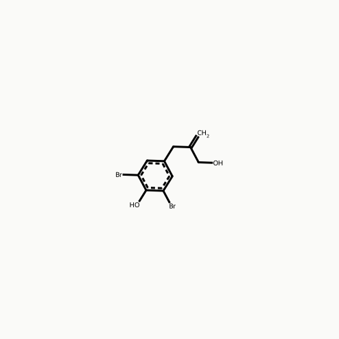 C=C(CO)Cc1cc(Br)c(O)c(Br)c1